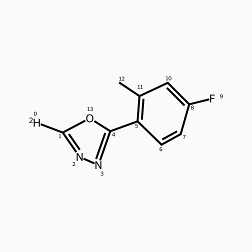 [2H]c1nnc(-c2ccc(F)cc2C)o1